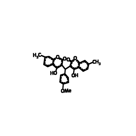 COc1ccc(C(c2c(O)c3ccc(C)cc3oc2=O)c2c(O)c3ccc(C)cc3oc2=O)cc1